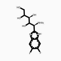 CC(=O)N[C@@H](c1nc2cc(F)c(F)cc2[nH]1)C(O)[C@H](O)C(O)CO